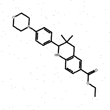 CCOC(=O)c1ccc2c(c1)CC(C)(C)C(c1ccc(N3CCOCC3)cc1)N2